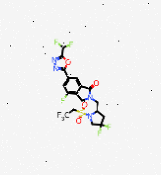 O=C1c2cc(-c3nnc(C(F)F)o3)cc(F)c2CN1C[C@H]1CC(F)(F)CN1S(=O)(=O)CC(F)(F)F